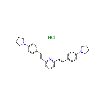 C(=Cc1cccc(C=Cc2ccc(N3CCCC3)cc2)n1)c1ccc(N2CCCC2)cc1.Cl